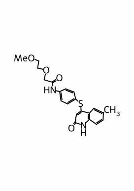 COCCOCC(=O)Nc1ccc(Sc2cc(=O)[nH]c3ccc(C)cc23)cc1